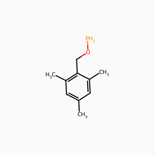 Cc1cc(C)c(COP)c(C)c1